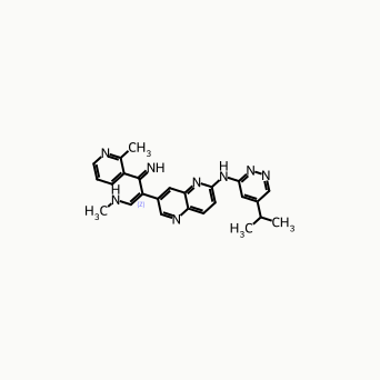 CN/C=C(\C(=N)c1cccnc1C)c1cnc2ccc(Nc3cc(C(C)C)cnn3)nc2c1